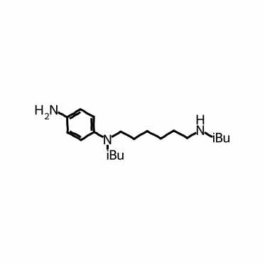 CCC(C)NCCCCCCN(c1ccc(N)cc1)C(C)CC